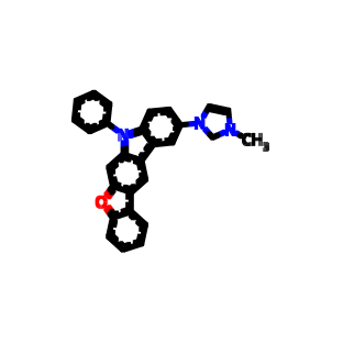 CN1C=CN(c2ccc3c(c2)c2cc4c(cc2n3-c2ccccc2)oc2ccccc24)C1